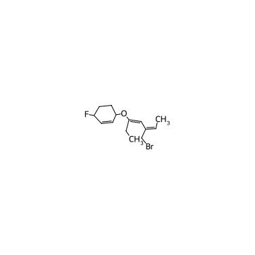 C/C=C(\C=C(/CC)OC1C=CC(F)CC1)CBr